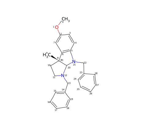 COc1ccc2c(c1)[C@@]1(C)CCN(Cc3ccccc3)C1N2Cc1ccccc1